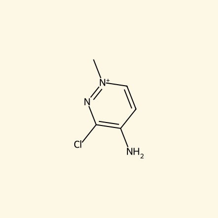 C[n+]1ccc(N)c(Cl)n1